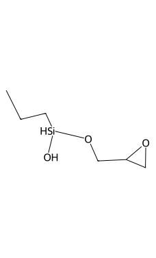 CCC[SiH](O)OCC1CO1